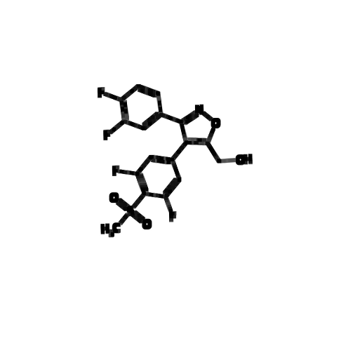 CS(=O)(=O)c1c(F)cc(-c2c(-c3ccc(F)c(F)c3)noc2CO)cc1F